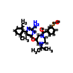 Cc1cccc(C)c1-c1cc(O[C@H]2CN(C(=O)c3cccc([S+]=O)c3)CCN(C(C)C)C2)nc(N)n1